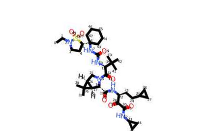 CCN1CC[C@@H](C2(NC(=O)N[C@H](C(=O)N3C[C@H]4[C@@H]([C@H]3C(=O)N[C@@H](CCC3CC3)C(=O)C(=O)NC3CC3)C4(C)C)C(C)(C)C)CCCCC2)S1(=O)=O